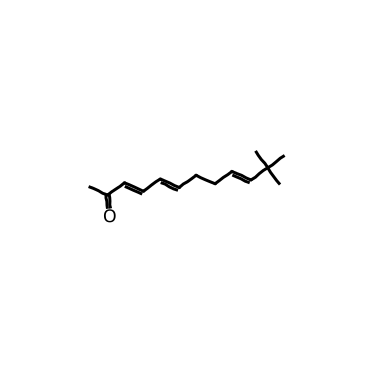 CC(=O)/C=C/C=C/CC/C=C/C(C)(C)C